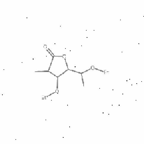 CCOC(C)C1OC(=O)C(C)C1OCC